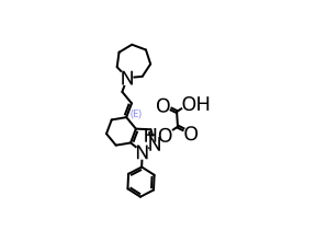 C(/CN1CCCCCC1)=C1/CCCc2c1cnn2-c1ccccc1.O=C(O)C(=O)O